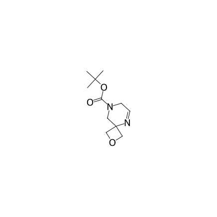 CC(C)(C)OC(=O)N1CC=NC2(COC2)C1